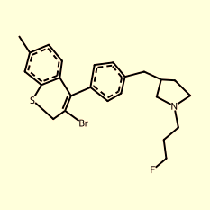 Cc1ccc2c(c1)SCC(Br)=C2c1ccc(CC2CCN(CCCF)C2)cc1